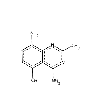 Cc1nc(N)c2c(C)ccc(N)c2n1